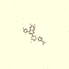 Cc1ccc(-c2nc(N3C[C@@H](C)O[C@@H](c4cnn(C5CC5)c4)C3)nc3nc(C)c(C)nc23)o1